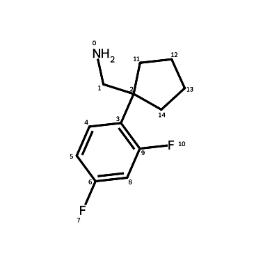 NCC1(c2ccc(F)cc2F)CCCC1